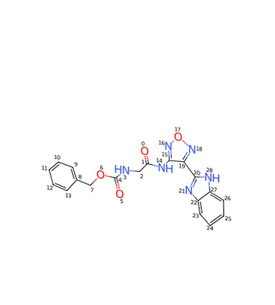 O=C(CNC(=O)OCc1ccccc1)Nc1nonc1-c1nc2ccccc2[nH]1